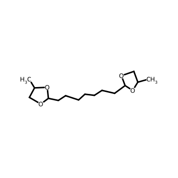 CC1COC(CCCCCCCC2OCC(C)O2)O1